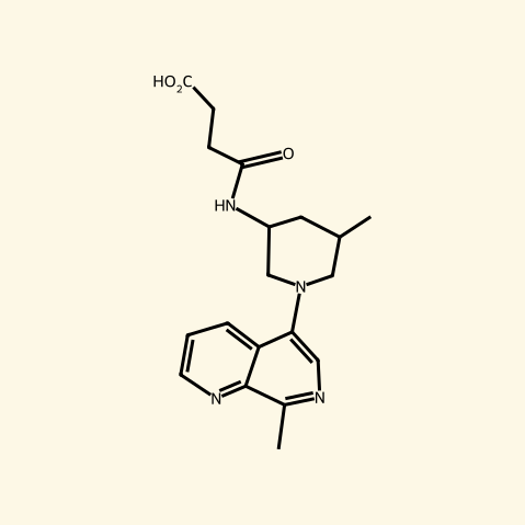 Cc1ncc(N2CC(C)CC(NC(=O)CCC(=O)O)C2)c2cccnc12